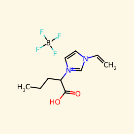 C=Cn1cc[n+](C(CCC)C(=O)O)c1.F[B-](F)(F)F